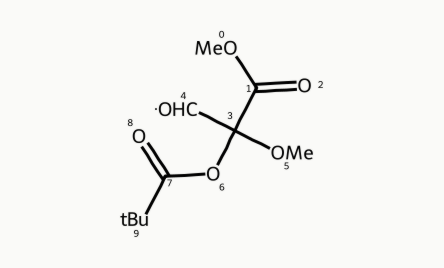 COC(=O)C([C]=O)(OC)OC(=O)C(C)(C)C